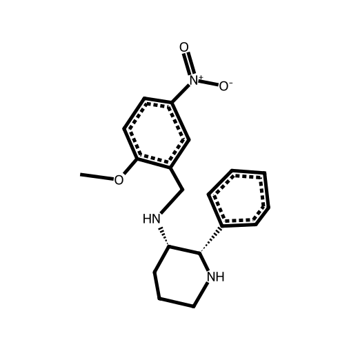 COc1ccc([N+](=O)[O-])cc1CN[C@H]1CCCN[C@H]1c1ccccc1